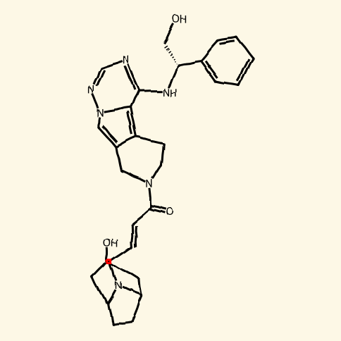 O=C(/C=C/CN1C2CCC1CC(O)C2)N1CCc2c(cn3ncnc(N[C@H](CO)c4ccccc4)c23)C1